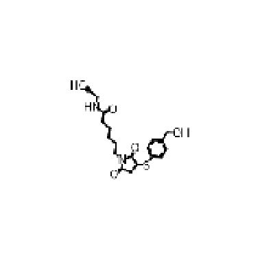 C#CCNC(=O)CCCCCN1C(=O)CC(Sc2ccc(CO)cc2)C1=O